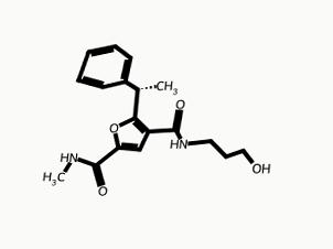 CNC(=O)c1cc(C(=O)NCCCO)c([C@@H](C)c2ccccc2)o1